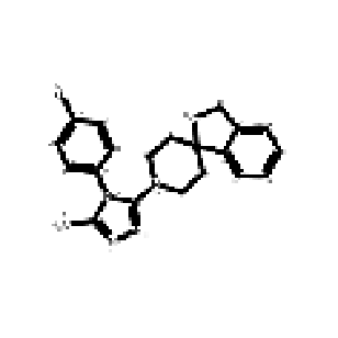 Cc1nnc(N2CCC3(CC2)OCc2ccccc23)n1-c1ccc(Cl)cc1